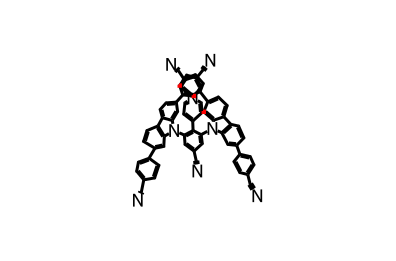 N#Cc1ccc(-c2ccc3c4ccc(-c5ccc(C#N)cc5)cc4n(-c4cc(C#N)cc(-n5c6cc(-c7ccc(C#N)cc7)ccc6c6ccc(-c7ccc(C#N)cc7)cc65)c4-c4ccncc4)c3c2)cc1